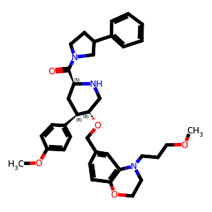 COCCCN1CCOc2ccc(CO[C@H]3CN[C@H](C(=O)N4CCC(c5ccccc5)C4)C[C@@H]3c3ccc(OC)cc3)cc21